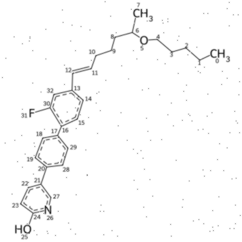 CCCCCOC(C)CCCC=Cc1ccc(-c2ccc(-c3ccc(O)nc3)cc2)c(F)c1